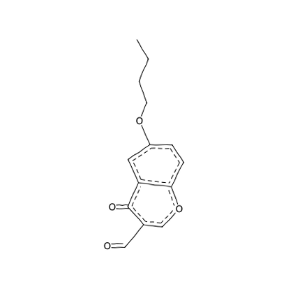 CCCCOc1ccc2occ(C=O)c(=O)c2c1